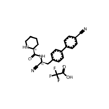 N#Cc1ccc(-c2ccc(C[C@@H](C#N)NC(=O)[C@@H]3CCCCN3)cc2)cc1.O=C(O)C(F)(F)F